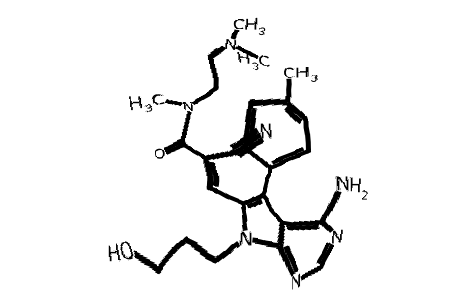 Cc1ccc(-c2c(C=C(C#N)C(=O)N(C)CCN(C)C)n(CCCO)c3ncnc(N)c23)cc1